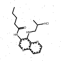 CCCCC(=O)Nc1cnc2cccnc2c1NCC(C)C.Cl